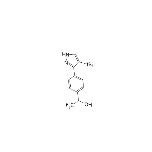 CC(C)(C)c1c[nH]nc1-c1ccc(C(O)C(F)(F)F)cc1